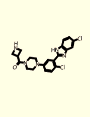 O=C(C1CNC1)N1CCN(c2ccc(Cl)c(-c3nc4cc(Cl)ccc4[nH]3)c2)CC1